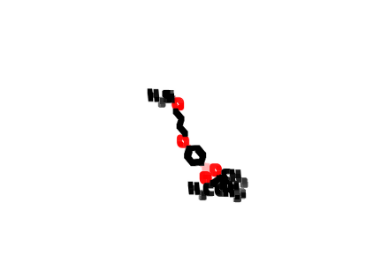 CC1(C)OB(c2ccc(OCCCCO[SiH3])cc2)OC1(C)C